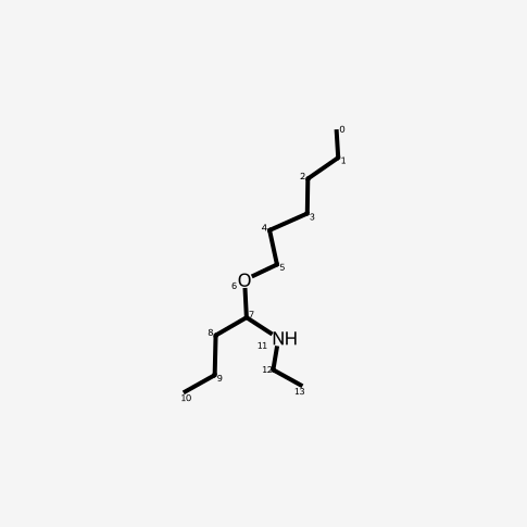 CCCCCCOC(CCC)NCC